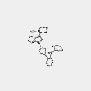 Oc1ccccc1-n1c[n+](-c2ccc3c4ccccc4n(-c4ccccn4)c3c2)c2ccccc21